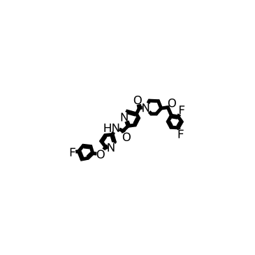 O=C(Nc1ccc(Oc2ccc(F)cc2)nc1)c1ccc(C(=O)N2CCC(C(=O)c3ccc(F)cc3F)CC2)cn1